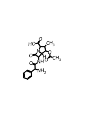 CC(=O)OC1C(C)C(C(=O)O)N2C(=O)C(NC(=O)C(N)c3ccccc3)[C@@H]12